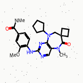 CNC(=O)c1ccc(Nc2ncc3c(n2)N(C2CCCC2)CC2(CCC2)C(=O)N3C)c(OC)c1